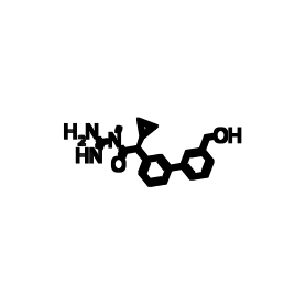 CN(C(=N)N)C(=O)[C@H](c1cccc(-c2cccc(CO)c2)c1)C1CC1